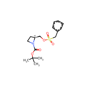 CC(C)(C)OC(=O)N1CC[C@H]1COS(=O)(=O)Cc1ccccc1